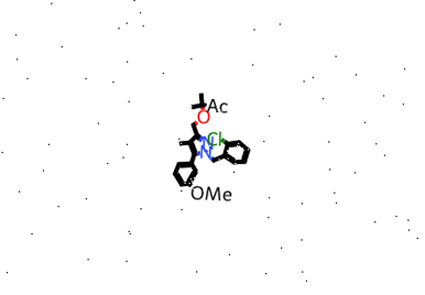 COc1cccc(-c2c(C)c(COC(C)(C)C(C)=O)nn2Cc2ccccc2Cl)c1